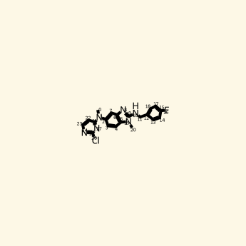 CN(c1ccc2c(c1)nc(NCc1ccc(F)cc1)n2C)c1ccnc(Cl)n1